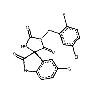 O=C1NC2(C(=O)[N]c3ccc(Cl)cc32)C(=O)N1Cc1cc(Cl)ccc1F